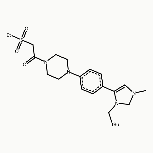 CCS(=O)(=O)CC(=O)N1CCN(c2ccc(C3=CN(C)CN3CC(C)(C)C)cc2)CC1